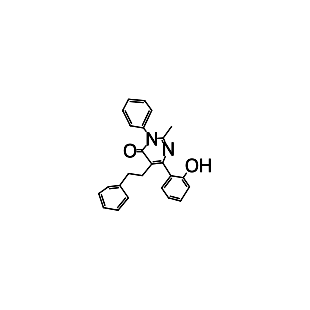 Cc1nc(-c2ccccc2O)c(CCc2ccccc2)c(=O)n1-c1ccccc1